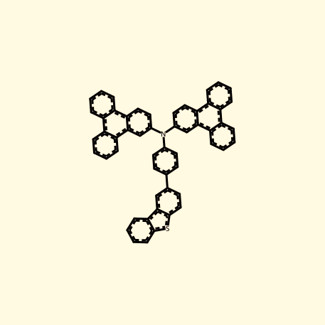 c1ccc2c(c1)sc1ccc(-c3ccc(N(c4ccc5c6ccccc6c6ccccc6c5c4)c4ccc5c6ccccc6c6ccccc6c5c4)cc3)cc12